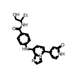 CCC(CO)NC(=O)c1ccc(Nc2ccc(-c3cc[nH]c(=O)c3)n3ccnc23)cc1